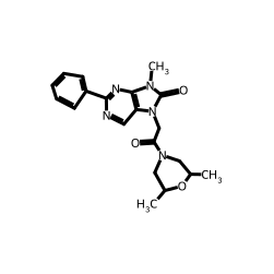 CC1CN(C(=O)Cn2c(=O)n(C)c3nc(-c4ccccc4)ncc32)CC(C)O1